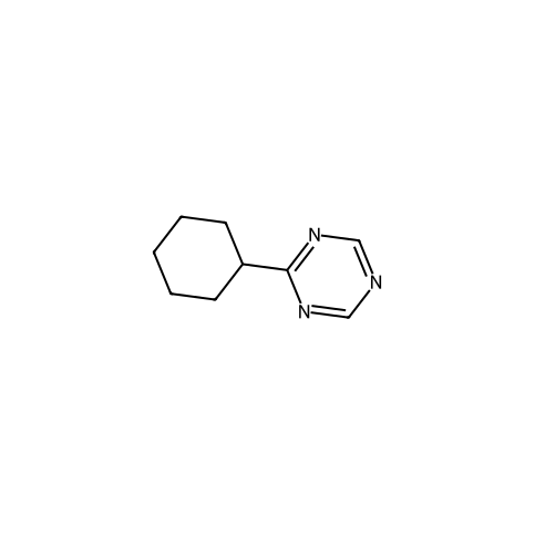 c1ncnc(C2CCCCC2)n1